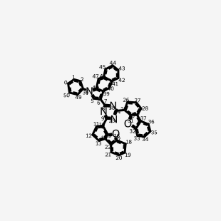 c1ccc(-n2cc(-c3nc(-c4cccc5c4oc4ccccc45)nc(-c4cccc5c4oc4ccccc45)n3)c3cc4ccccc4cc32)cc1